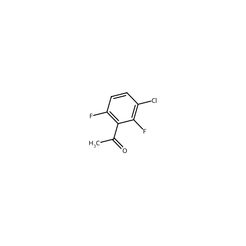 CC(=O)c1c(F)ccc(Cl)c1F